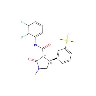 CN1C[C@H](c2cccc(S(C)(C)C)c2)[C@@H](C(=O)Nc2cccc(F)c2F)C1=O